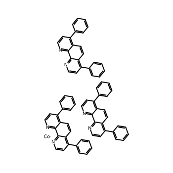 [Co].c1ccc(-c2ccnc3c2ccc2c(-c4ccccc4)ccnc23)cc1.c1ccc(-c2ccnc3c2ccc2c(-c4ccccc4)ccnc23)cc1.c1ccc(-c2ccnc3c2ccc2c(-c4ccccc4)ccnc23)cc1